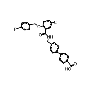 O=C(O)c1ccc(-c2ccc(CNC(=O)c3cc(Cl)ccc3OCc3ccc(F)cc3)cc2)cc1